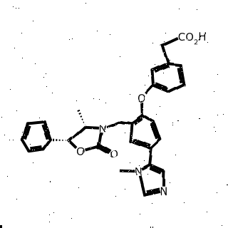 C[C@H]1[C@@H](c2ccccc2)OC(=O)N1Cc1cc(-c2cncn2C)ccc1Oc1cccc(CC(=O)O)c1